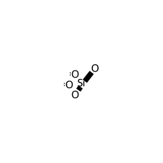 O=[Si]=O.[O].[O]